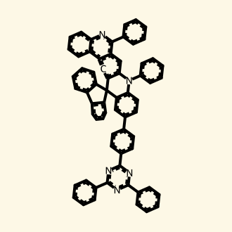 c1ccc(-c2nc(-c3ccccc3)nc(-c3ccc(-c4ccc5c(c4)C4(c6ccccc6-c6ccccc64)c4cc6c(cc4N5c4ccccc4)c(-c4ccccc4)nc4ccccc46)cc3)n2)cc1